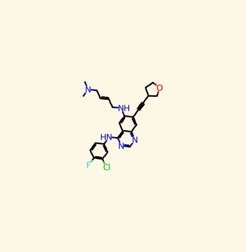 CN(C)C/C=C/CNc1cc2c(Nc3ccc(F)c(Cl)c3)ncnc2cc1C#CC1CCOC1